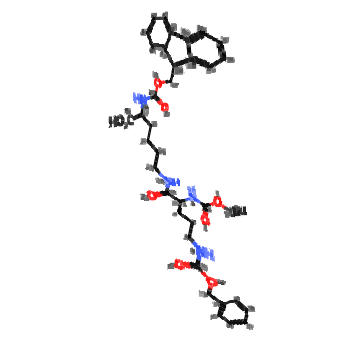 CC(C)(C)OC(=O)N[C@@H](CCCNC(=O)OCc1ccccc1)C(=O)NCCCCC(NC(=O)OCC1c2ccccc2-c2ccccc21)C(=O)O